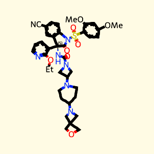 CCOc1ncccc1[C@]1(NC(=O)N2CC(N3CCC(N4CC5(COC5)C4)CC3)C2)C(=O)N(S(=O)(=O)c2ccc(OC)cc2OC)c2ccc(C#N)cc21